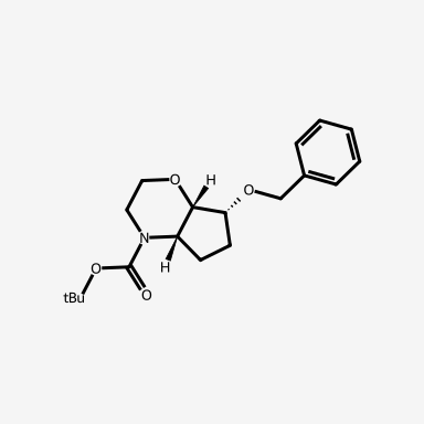 CC(C)(C)OC(=O)N1CCO[C@@H]2[C@H](OCc3ccccc3)CC[C@@H]21